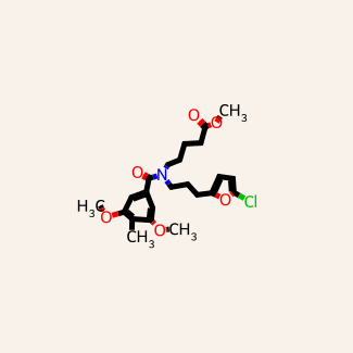 COC(=O)CCCCN(CCCc1ccc(Cl)o1)C(=O)c1cc(OC)c(C)c(OC)c1